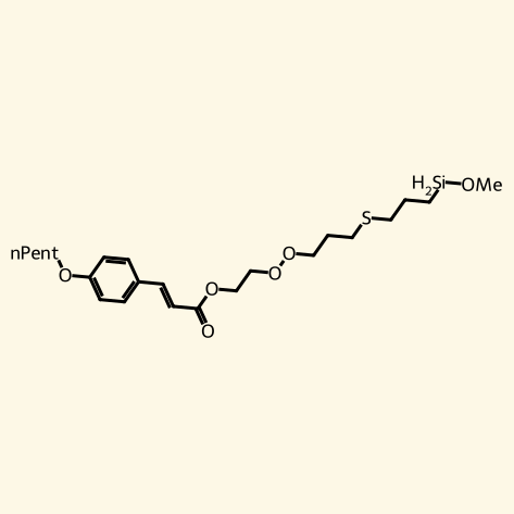 CCCCCOc1ccc(C=CC(=O)OCCOOCCCSCCC[SiH2]OC)cc1